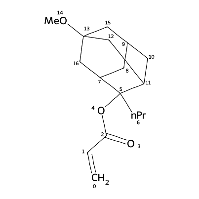 C=CC(=O)OC1(CCC)C2CC3CC1CC(OC)(C3)C2